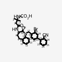 CC(C)(CC(=O)N[C@@H]1CCc2ccccc2N(Cc2ccc(-c3ccccc3C#N)cc2Br)C1=O)NC(=O)O